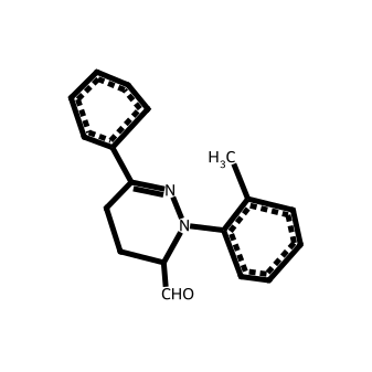 Cc1ccccc1N1N=C(c2ccccc2)CCC1C=O